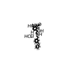 Cl.Cl.O=c1[nH]c2c(O)ccc(C(O)CNCCc3cccc(CN4CCCC4)c3)c2s1